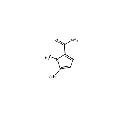 Cn1c([N+](=O)[O-])cnc1C(N)=O